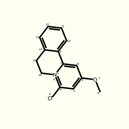 COc1cc(Cl)[n+]2c(c1)-c1ccccc1CC2